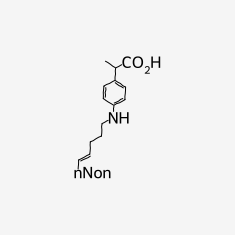 CCCCCCCCCC=CCCCNc1ccc(C(C)C(=O)O)cc1